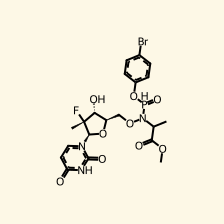 COC(=O)C(C)N(OC[C@H]1O[C@@H](n2ccc(=O)[nH]c2=O)[C@](C)(F)[C@@H]1O)[PH](=O)Oc1ccc(Br)cc1